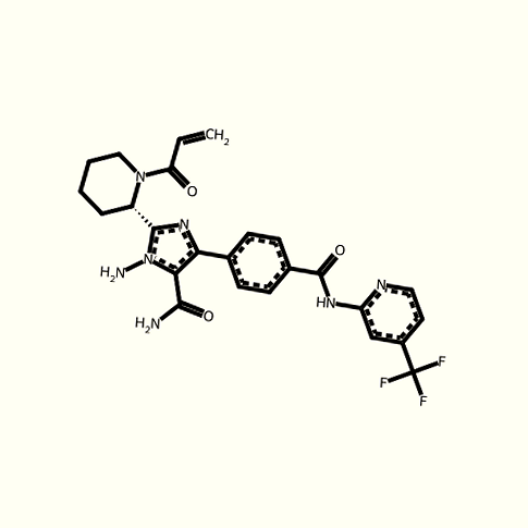 C=CC(=O)N1CCCC[C@H]1c1nc(-c2ccc(C(=O)Nc3cc(C(F)(F)F)ccn3)cc2)c(C(N)=O)n1N